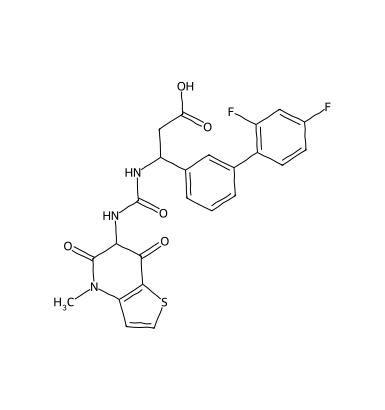 CN1C(=O)C(NC(=O)NC(CC(=O)O)c2cccc(-c3ccc(F)cc3F)c2)C(=O)c2sccc21